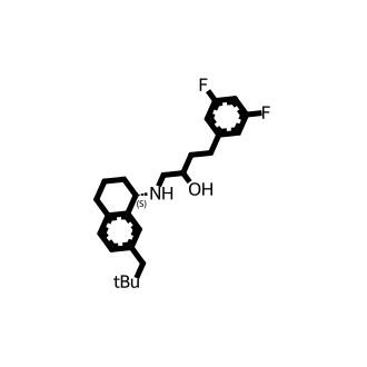 CC(C)(C)Cc1ccc2c(c1)[C@@H](NCC(O)CCc1cc(F)cc(F)c1)CCC2